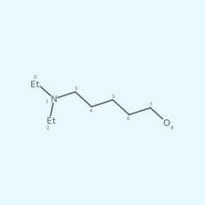 CCN(CC)CCCCC[O]